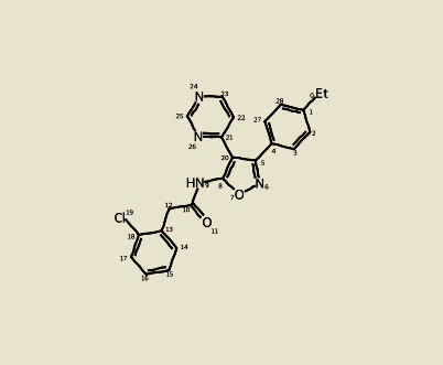 CCc1ccc(-c2noc(NC(=O)Cc3ccccc3Cl)c2-c2ccncn2)cc1